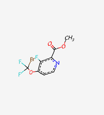 COC(=O)c1nccc(OC(F)(F)Br)c1F